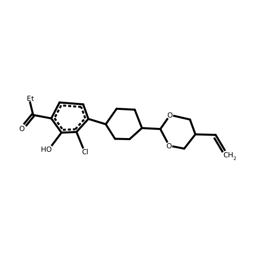 C=CC1COC(C2CCC(c3ccc(C(=O)CC)c(O)c3Cl)CC2)OC1